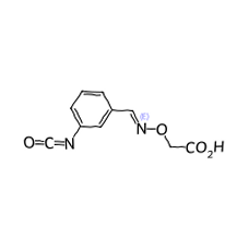 O=C=Nc1cccc(/C=N/OCC(=O)O)c1